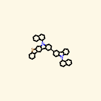 c1ccc2c(-n3c4ccccc4c4cc(-c5ccc6c(c5)c5cc7c(cc5n6-c5cccc6ccccc56)sc5ccccc57)ccc43)cccc2c1